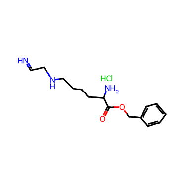 Cl.N=CCNCCCCC(N)C(=O)OCc1ccccc1